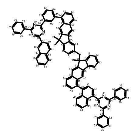 CC1(C)c2ccc(CC3(C)c4ccccc4-c4cc5c(-c6ccc(-c7nc(-c8ccccc8)nc(-c8ccccc8)n7)c7ccccc67)cccc5cc43)cc2-c2cc3cccc(-c4cccc(-c5nc(-c6ccccc6)nc(-c6ccc7ccccc7c6)n5)c4)c3cc21